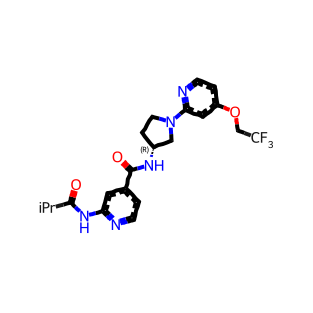 CC(C)C(=O)Nc1cc(C(=O)N[C@@H]2CCN(c3cc(OCC(F)(F)F)ccn3)C2)ccn1